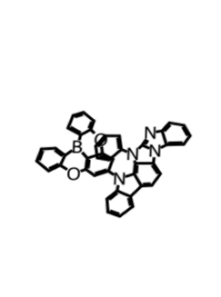 c1ccc(-n2c3c4c(ccc3n3c5ccccc5nc23)c2ccccc2n4-c2cc3c4c(c2)Oc2ccccc2B4c2ccccc2O3)cc1